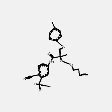 CCCCOOC(C)(CSc1ccc(F)cc1)C(=O)Nc1ccc(C#N)c(C(F)(F)F)c1